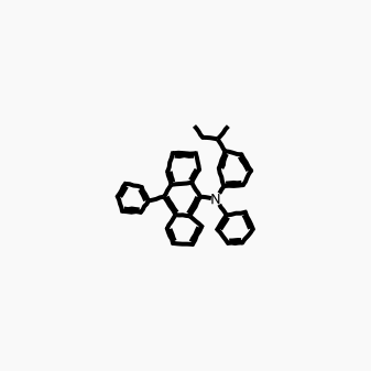 CCC(C)c1cccc(N(c2ccccc2)c2c3ccccc3c(-c3ccccc3)c3ccccc23)c1